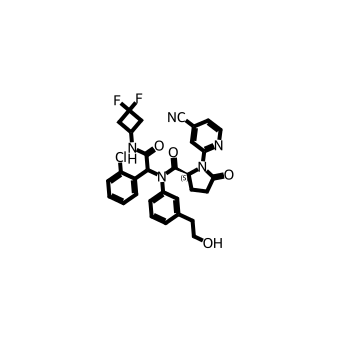 N#Cc1ccnc(N2C(=O)CC[C@H]2C(=O)N(c2cccc(CCO)c2)C(C(=O)NC2CC(F)(F)C2)c2ccccc2Cl)c1